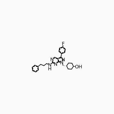 O[C@H]1CC[C@H](Cn2nc(-c3ccc(F)cc3)c3cnc(NCCCc4ccccc4)nc32)CC1